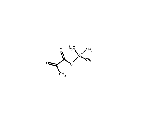 CC(=O)C(=O)O[Si](C)(C)C